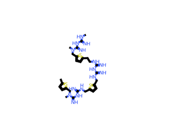 CNC(=N)NC(=N)N(C)Cc1ccc(CCNC(=N)NC(=N)NCc2ccc(CNC(=N)NC(=N)N(C)Cc3ccc(C)s3)s2)s1